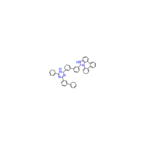 C1=CCCC(C2=NC(c3cccc(C4=CC=CCC4)c3)=NC(C3=CC(c4cccc(C5Nc6cccc7c6N5C5=CCCC=C5c5ccccc5-7)c4)=CCC3)N2)=C1